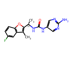 Cc1c([C@H](NC(=O)Nc2cnc(N)nc2)C(F)(F)F)oc2ccc(F)cc12